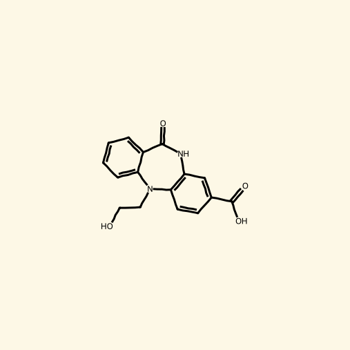 O=C(O)c1ccc2c(c1)NC(=O)c1ccccc1N2CCO